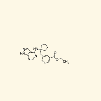 CCOC(=O)c1cccc(CC2(Nc3ncnc4[nH]ncc34)CCCC2)c1